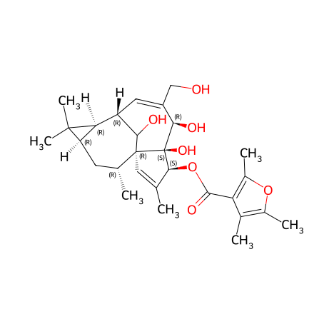 CC1=C[C@]23C(O)[C@@H](C=C(CO)[C@@H](O)[C@]2(O)[C@H]1OC(=O)c1c(C)oc(C)c1C)[C@H]1[C@@H](C[C@H]3C)C1(C)C